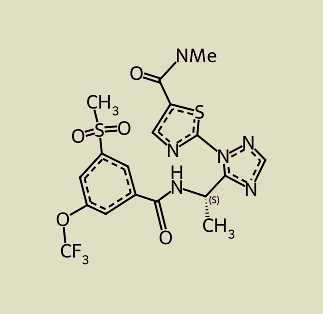 CNC(=O)c1cnc(-n2ncnc2[C@H](C)NC(=O)c2cc(OC(F)(F)F)cc(S(C)(=O)=O)c2)s1